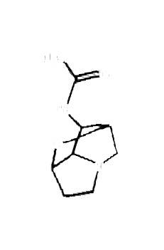 CC(=O)NC1C2CN3CCC(O2)C13